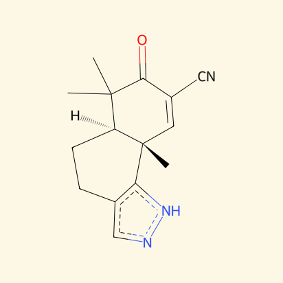 CC1(C)C(=O)C(C#N)=C[C@]2(C)c3[nH]ncc3CC[C@@H]12